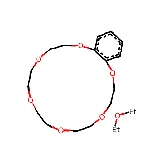 CCOCC.c1ccc2c(c1)OCCOCCOCCOCCOCCO2